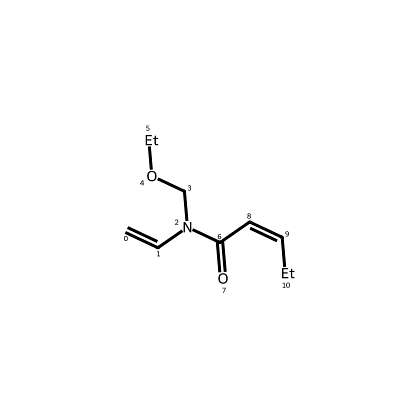 C=CN(COCC)C(=O)/C=C\CC